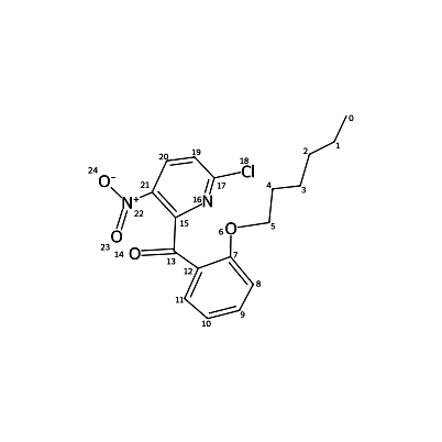 CCCCCCOc1ccccc1C(=O)c1nc(Cl)ccc1[N+](=O)[O-]